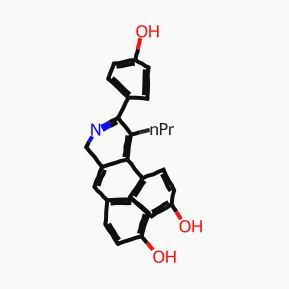 CCCC1=C(c2ccc(O)cc2)/C(=C\c2ccc(O)cc2)CN=C1c1ccc(O)cc1